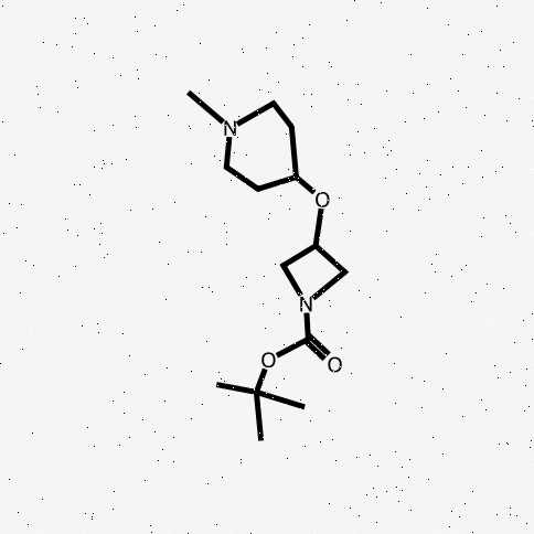 CN1CCC(OC2CN(C(=O)OC(C)(C)C)C2)CC1